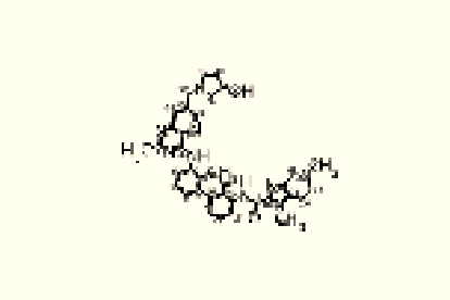 Cc1nc(Nc2cccc(-c3nccc(NC(=O)c4nc5c(n4C)CCN(C)C5)c3Cl)c2C)c2ncc(CN3CCC(O)C3)cc2n1